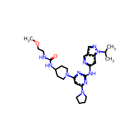 COCCNC(=O)NC1CCN(c2cc(N3CCCC3)nc(Nc3cc4c(cn3)cnn4C(C)C)n2)CC1